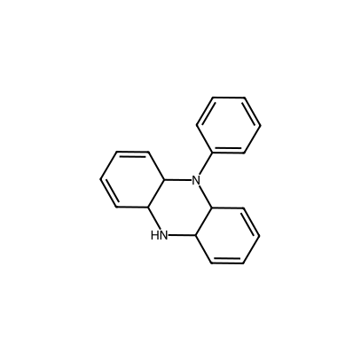 C1=CC2NC3C=CC=CC3N(c3ccccc3)C2C=C1